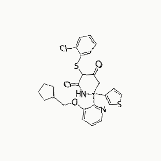 O=C1CC(c2ccsc2)(c2ncccc2OCC2CCCC2)NC(=O)C1Sc1ccccc1Cl